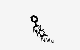 CNC(=O)C(C)Sc1nncc(-c2ccccc2)n1